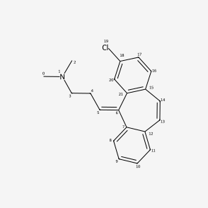 CN(C)CC/C=C1/c2ccccc2C=Cc2ccc(Cl)cc21